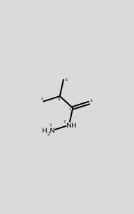 C=C(NN)C(C)C